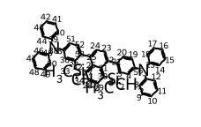 C[Si]1(C)c2cc(N(c3ccccc3)c3ccccc3)ccc2-c2ccc3c4c(ccc1c24)[Si](C)(C)c1cc(N(c2ccccc2)c2ccccc2)ccc1-3